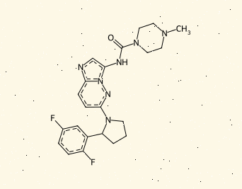 CN1CCN(C(=O)Nc2cnc3ccc(N4CCCC4c4cc(F)ccc4F)nn23)CC1